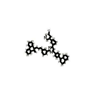 C=c1/c(=C\C=C\c2cccc(-c3nc(-c4ccc(-c5cccc6ccccc56)cc4)cc(-c4cccc(C(/C=N\C)=C/CC)c4)n3)c2)c2ccccc2c2ccccc12